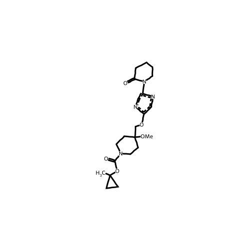 COC1(COc2cnc(N3CCCCC3=O)cn2)CCN(C(=O)OC2(C)CC2)CC1